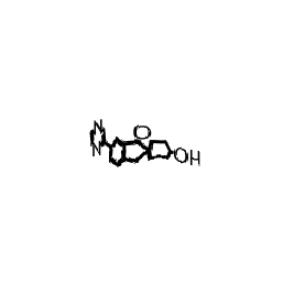 O=C1c2cc(-c3cnccn3)ccc2CC12CCC(O)CC2